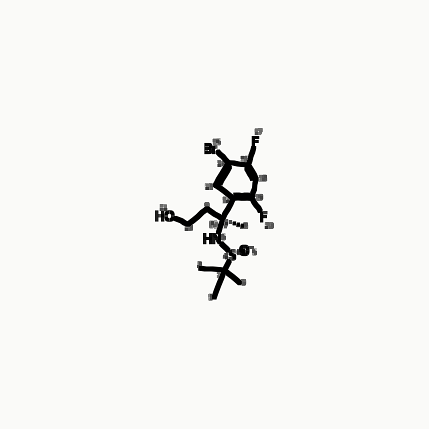 CC(C)(C)[S+]([O-])N[C@@](C)(CCO)c1cc(Br)c(F)cc1F